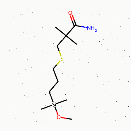 CO[Si](C)(C)CCCSCC(C)(C)C(N)=O